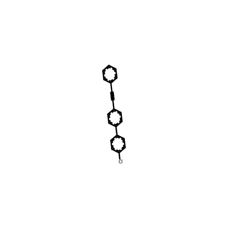 Clc1ccc(-c2ccc(C#Cc3ccccc3)cc2)cc1